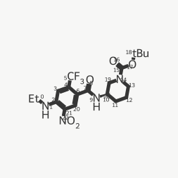 CCNc1cc(C(F)(F)F)c(C(=O)N[C@@H]2CCCN(C(=O)OC(C)(C)C)C2)cc1[N+](=O)[O-]